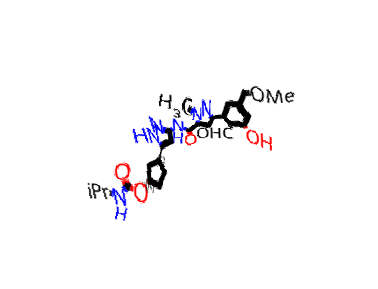 COCc1cc(O)c(C=O)c(-c2cc(C(=O)Nc3cc([C@H]4CC[C@@H](OC(=O)NC(C)C)C4)[nH]n3)n(C)n2)c1